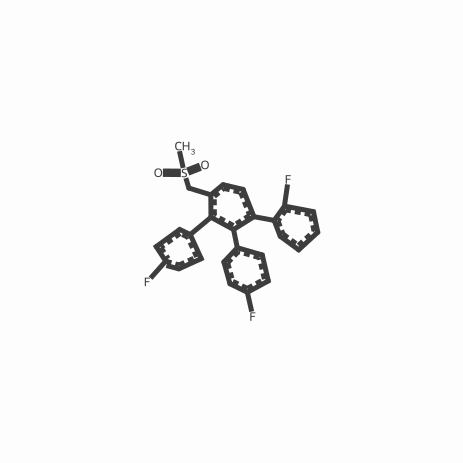 CS(=O)(=O)Cc1ccc(-c2ccccc2F)c(-c2ccc(F)cc2)c1-c1ccc(F)cc1